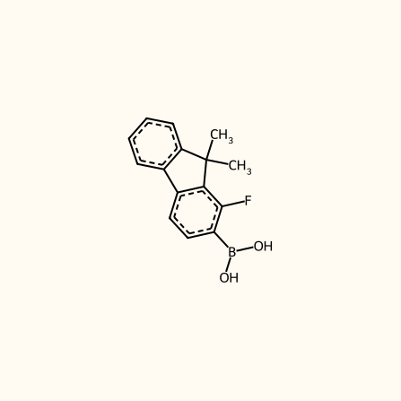 CC1(C)c2ccccc2-c2ccc(B(O)O)c(F)c21